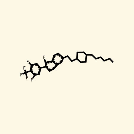 CCCCCCC1CCC(CCc2ccc3c(F)c(-c4cc(F)c(C(F)(F)F)c(F)c4)ccc3c2)CC1